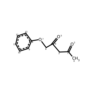 CC(=O)CC(=O)COc1ccccc1